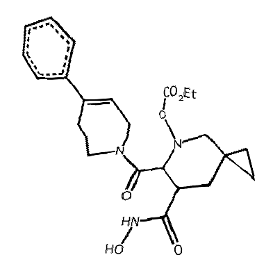 CCOC(=O)ON1CC2(CC2)CC(C(=O)NO)C1C(=O)N1CC=C(c2ccccc2)CC1